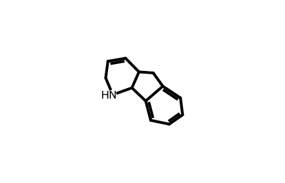 C1=CC2Cc3ccccc3C2NC1